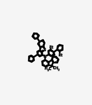 CCc1ccccc1-c1ccc(N(c2cccc3c2-c2ccccc2C3(C)C)c2cc(-c3ccccc3)cc3c2sc2ccc(-c4ccccc4)cc23)cc1CC